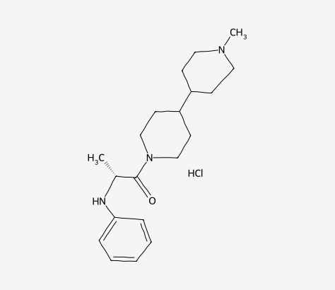 C[C@@H](Nc1ccccc1)C(=O)N1CCC(C2CCN(C)CC2)CC1.Cl